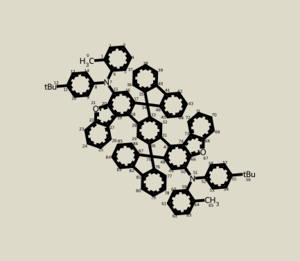 Cc1ccccc1N(c1ccc(C(C)(C)C)cc1)c1cc2c(c3c1oc1ccccc13)-c1cc3c(cc1C21c2ccccc2-c2ccccc21)-c1c(cc(N(c2ccc(C(C)(C)C)cc2)c2ccccc2C)c2oc4ccccc4c12)C31c2ccccc2-c2ccccc21